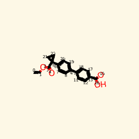 CCOC(=O)C1(c2ccc(-c3ccc(C(=O)O)cc3)cc2)CC1